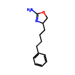 NC1=NC(CCCCc2ccccc2)CO1